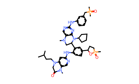 CC(C)CCN1CC(=O)N(C)c2cnc(Nc3ccc(C4CCP(C)(=O)O4)cc3C3CN(C)c4cnc(Nc5cccc(CP(C)(C)=O)c5)nc4N3C3CCCC3)cc21